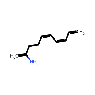 C=C/C=C\C=C/CCC(=C)N